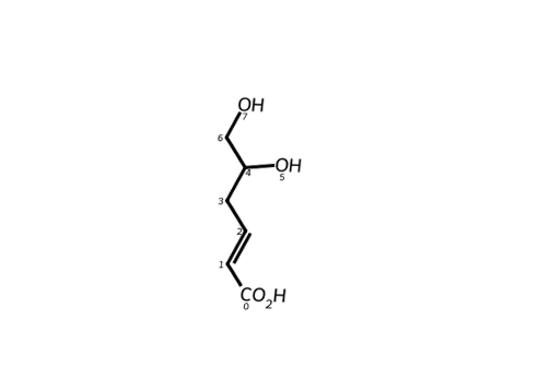 O=C(O)/C=C/CC(O)CO